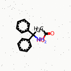 CC(=O)O.CC(N)(c1ccccc1)c1ccccc1